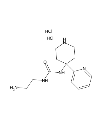 Cl.Cl.NCCNC(=O)NC1(c2ccccn2)CCNCC1